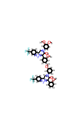 COc1ccc(N(CCc2ccc(C(F)(F)F)cc2)C(=O)C(N)c2ccccc2OC)cc1OC.COc1cccc(N(CCc2ccc(C(F)(F)F)cc2)C(=O)C(N)c2ccccc2OC)c1